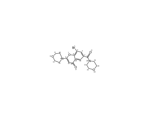 O=C(c1cc(Br)c2oc(N3CCOCC3)cc(=O)c2c1)N1CCOCC1